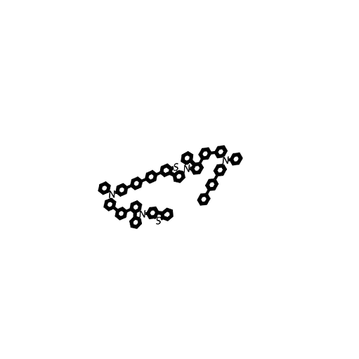 c1ccc(-c2ccc(-c3ccc(N(c4ccccc4)c4cccc(-c5cccc(-c6cccc7c6c6ccccc6n7-c6cccc7c6sc6ccc(-c8ccc(-c9ccc(-c%10ccc(N(c%11ccccc%11)c%11cccc(-c%12cccc(-c%13cccc%14c%13c%13ccccc%13n%14-c%13ccc%14c(c%13)sc%13ccccc%13%14)c%12)c%11)cc%10)cc9)cc8)cc67)c5)c4)cc3)cc2)cc1